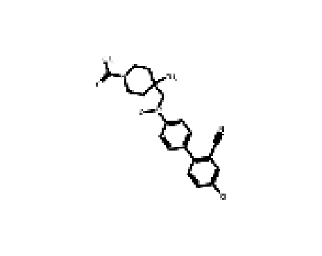 CC(=O)N1CCC(C)(C[S+]([O-])c2ccc(-c3ccc(Cl)cc3C#N)cc2)CC1